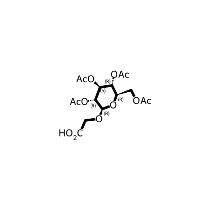 CC(=O)OC[C@H]1O[C@@H](OCC(=O)O)[C@H](OC(C)=O)[C@@H](OC(C)=O)[C@@H]1OC(C)=O